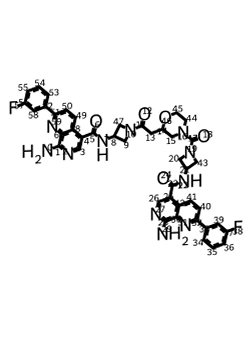 Nc1ncc(C(=O)NC2CN(C(=O)CC3CN(C(=O)N4CC(NC(=O)c5cnc(N)c6nc(-c7cccc(F)c7)ccc56)C4)CCO3)C2)c2ccc(-c3cccc(F)c3)nc12